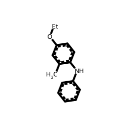 CCOc1ccc(Nc2ccccc2)c(C)c1